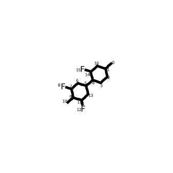 CC1CCC(C2CC(F)C(C)C(F)C2)C(F)C1